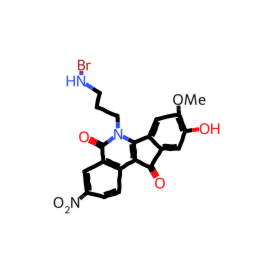 COc1cc2c(cc1O)C(=O)c1c-2n(CCCNBr)c(=O)c2cc([N+](=O)[O-])ccc12